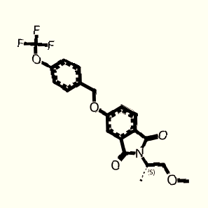 COC[C@H](C)N1C(=O)c2ccc(OCc3ccc(OC(F)(F)F)cc3)cc2C1=O